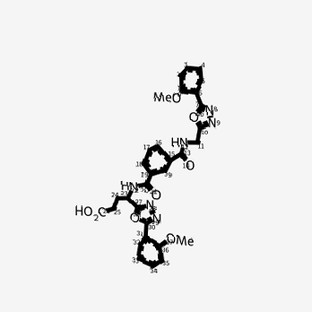 COc1ccccc1-c1nnc(CNC(=O)c2cccc(C(=O)NC(CCC(=O)O)c3nnc(-c4ccccc4OC)o3)c2)o1